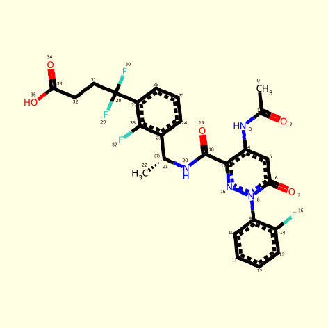 CC(=O)Nc1cc(=O)n(-c2ccccc2F)nc1C(=O)N[C@H](C)c1cccc(C(F)(F)CCC(=O)O)c1F